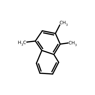 Cc1[c]c(C)c2ccccc2c1C